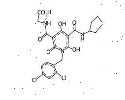 O=C(O)CNC(=O)c1c(O)c(C(=O)NC2CCCC2)c(O)n(Cc2ccc(Cl)cc2Cl)c1=O